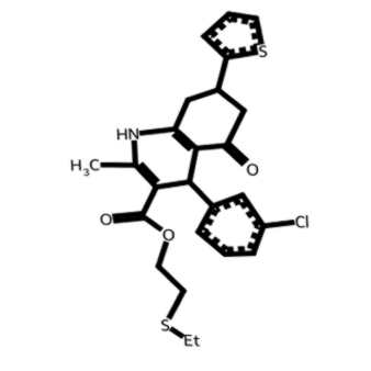 CCSCCOC(=O)C1=C(C)NC2=C(C(=O)CC(c3cccs3)C2)C1c1cccc(Cl)c1